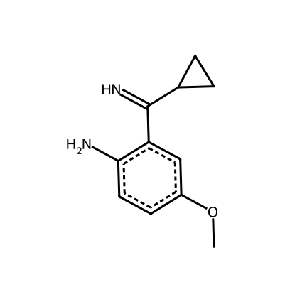 COc1ccc(N)c(C(=N)C2CC2)c1